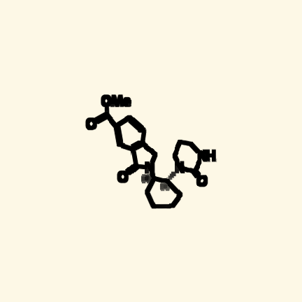 COC(=O)c1ccc2c(c1)C(=O)N([C@@H]1CCCC[C@H]1N1CCCNC1=O)C2